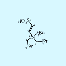 CC(C)C[Si](/C=[C]/S(=O)(=O)O)(CC(C)C)C(C)(C)C